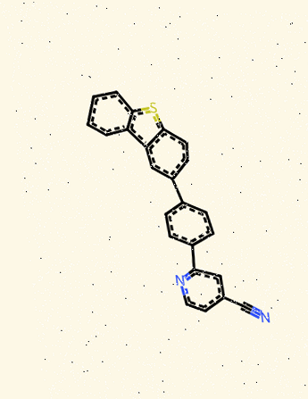 N#Cc1ccnc(-c2ccc(-c3ccc4sc5ccccc5c4c3)cc2)c1